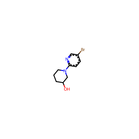 OC1CCCN(c2ccc(Br)cn2)C1